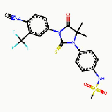 [C-]#[N+]c1ccc(N2C(=O)C(C)(C)N(c3ccc(NS(C)(=O)=O)cc3)C2=S)cc1C(F)(F)F